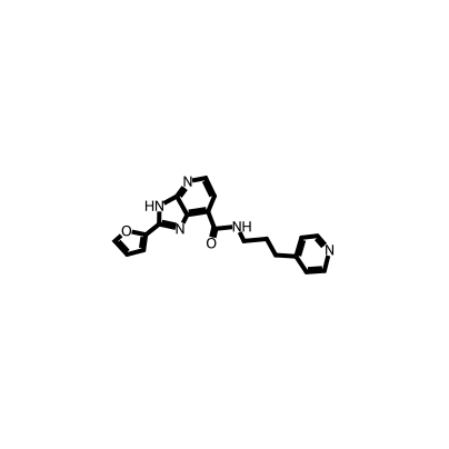 O=C(NCCCc1ccncc1)c1ccnc2[nH]c(-c3ccco3)nc12